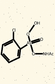 CC(=O)NO[As](=O)(OO)c1ccccc1Cl